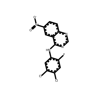 O=[N+]([O-])c1ccc2ncnc(Nc3cc(Cl)c(Cl)cc3F)c2c1